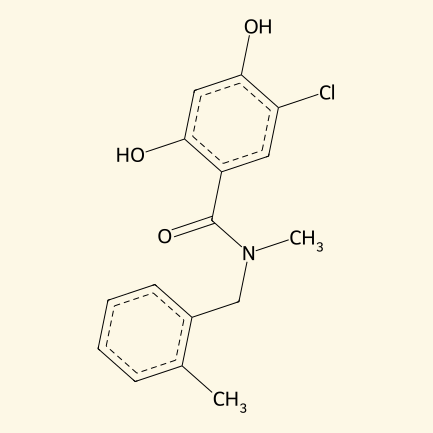 Cc1ccccc1CN(C)C(=O)c1cc(Cl)c(O)cc1O